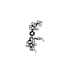 NCCNN(Cc1cnc2[nH]c(N)nc(=O)c2n1)c1ccc(C(=O)N[C@@H](CCC(=O)O)C(=O)O)cc1